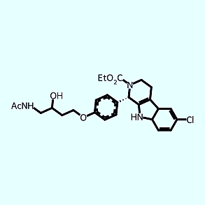 CCOC(=O)N1CCC2=C(NC3C=CC(Cl)=CC23)[C@@H]1c1ccc(OCCC(O)CNC(C)=O)cc1